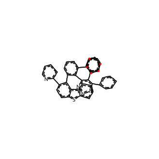 c1ccc(-c2cccc(-c3c(-c4ccccn4)ccc4sc5ccccc5c34)c2-c2nnnc(-c3ccccc3)c2-c2ccccc2)cc1